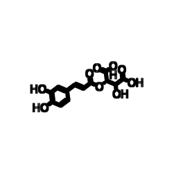 O=C(/C=C/c1ccc(O)c(O)c1)O[C@@H](C(=O)O)C(O)C(=O)O